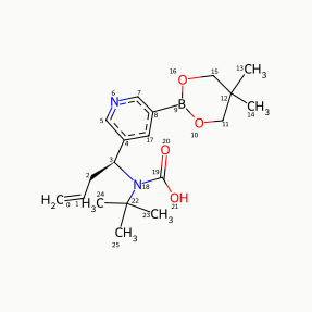 C=CC[C@@H](c1cncc(B2OCC(C)(C)CO2)c1)N(C(=O)O)C(C)(C)C